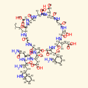 CCCCC1NC(=O)CNC(=O)C(NC(=O)C(CC(=O)O)NC(=O)[C@H](CC(N)=O)NC(=O)[C@@H](N)Cc2c[nH]c3ccccc23)C(C)OC(=O)C(CC(=O)c2ccccc2N)NC(=O)C(C(C)CC(=O)O)NC(=O)C(CO)NC(=O)CNC(=O)C(CC(=O)O)NC(=O)C(C)NC(=O)C(CC(=O)O)NC1=O